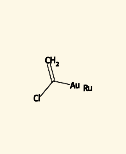 C=[C](Cl)[Au].[Ru]